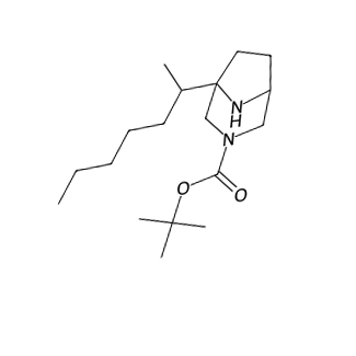 CCCCCC(C)C12CCC(CN(C(=O)OC(C)(C)C)C1)N2